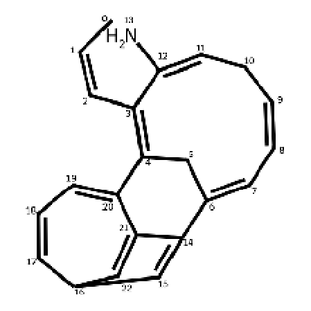 C\C=C/C1=C2/C/C(=C\C=C/C/C=C\1N)C1=CC3C=CC=C2C1=C3